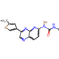 CCNC(=O)N(S)c1ccc2ncc(-c3csc(C(=O)O)c3)nc2n1